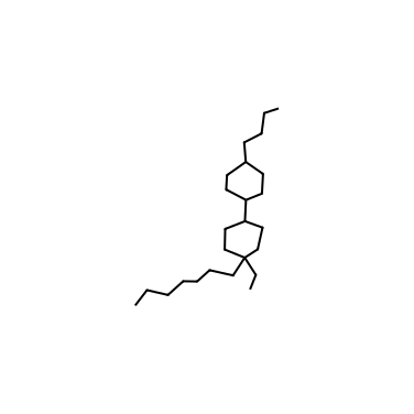 CCCCCCCC1(CC)CCC(C2CCC(CCCC)CC2)CC1